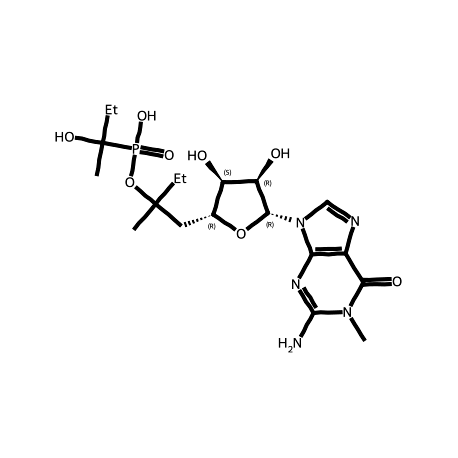 CCC(C)(C[C@H]1O[C@@H](n2cnc3c(=O)n(C)c(N)nc32)[C@H](O)[C@@H]1O)OP(=O)(O)C(C)(O)CC